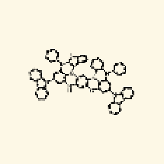 c1ccc(N2c3ccccc3B3c4cc5c(cc4Oc4cc(-n6c7ccccc7c7ccccc76)cc2c43)Nc2cc(-n3c4ccccc4c4ccccc43)cc3c2B5c2c(sc4ccccc24)N3c2ccccc2)cc1